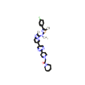 CCc1nc2ccc(-c3cnc(C4CCN(CC(=O)N5CCCCCC5)CC4)nc3)cn2c1N(C)c1nc(-c2ccc(F)cc2)c(C#N)s1